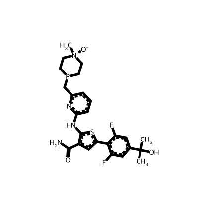 CC(C)(O)c1cc(F)c(-c2cc(C(N)=O)c(Nc3cccc(CP4CC[N+](C)([O-])CC4)n3)s2)c(F)c1